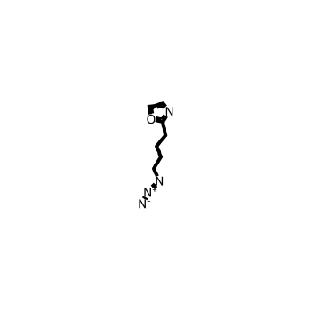 [N-]=[N+]=NCCCCc1ncco1